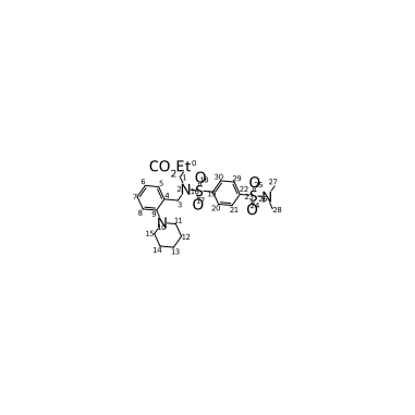 CCOC(=O)CN(Cc1ccccc1N1CCCCC1)S(=O)(=O)c1ccc(S(=O)(=O)N(C)C)cc1